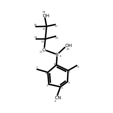 Cc1cc(C#N)cc(C)c1B(O)OC(C)(C)C(C)(C)O